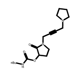 CCCCNC(=O)OC1CCN(CC#CCN2CCCC2)C1=O